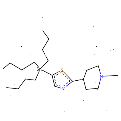 CCC[CH2][Sn]([CH2]CCC)([CH2]CCC)[c]1cnc(C2CCN(C)CC2)s1